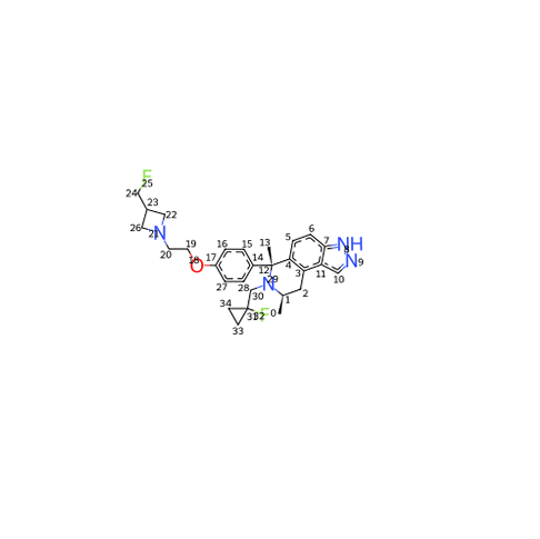 C[C@@H]1Cc2c(ccc3[nH]ncc23)[C@@](C)(c2ccc(OCCN3CC(CF)C3)cc2)N1CC1(F)CC1